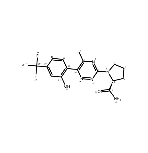 Cc1nc(N2CCC[C@H]2C(N)=O)nnc1-c1ccc(C(F)(F)F)cc1O